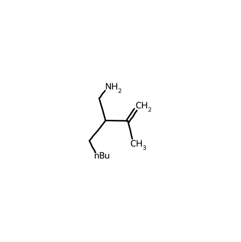 C=C(C)C(CN)CCCCC